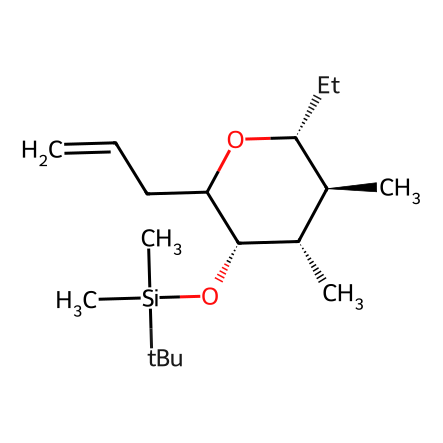 C=CCC1O[C@H](CC)[C@@H](C)[C@H](C)[C@@H]1O[Si](C)(C)C(C)(C)C